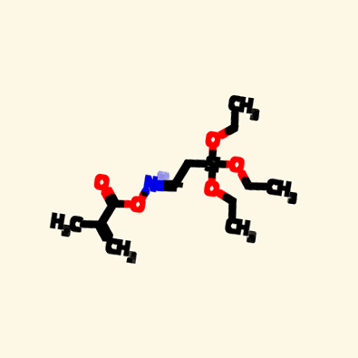 C=C(C)C(=O)O/N=[C]/C[Si](OCC)(OCC)OCC